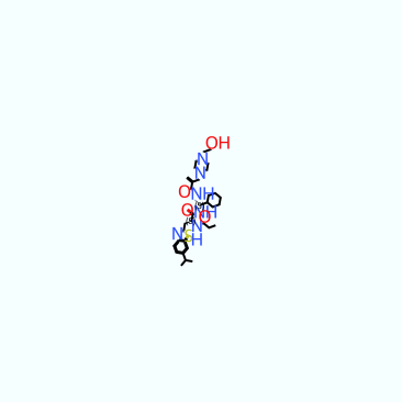 C=C(CN1CCN(CCO)CC1)C(=O)NC[C@@H](NC(=O)[C@H](Cc1nc2ccc(C(C)C)cc2s1)NC(=O)CC)C1CCCCC1